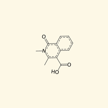 Cc1c(C(=O)O)c2ccccc2c(=O)n1C